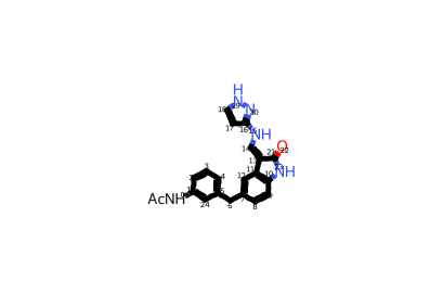 CC(=O)Nc1cccc(Cc2ccc3c(c2)/C(=C/Nc2cc[nH]n2)C(=O)N3)c1